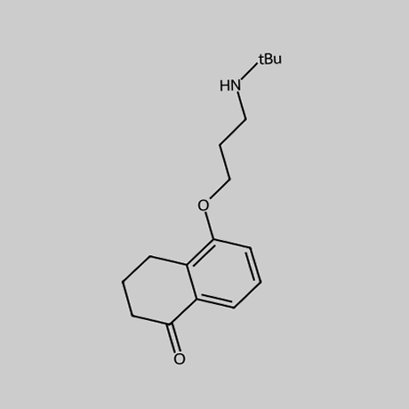 CC(C)(C)NCCCOc1cccc2c1CCCC2=O